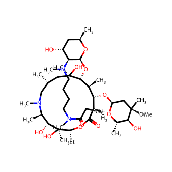 CC[C@H]1OC(=O)[C@H](C)[C@@H](O[C@H]2C[C@@](C)(OC)[C@@H](O)[C@H](C)O2)[C@H](C)[C@@H](O[C@@H]2O[C@H](C)C[C@@H](O)[C@@H]2N(C)CCCCN(C)C(=O)CC#N)[C@](C)(O)C[C@@H](C)CN(C)[C@H](C)[C@@H](O)[C@]1(C)O